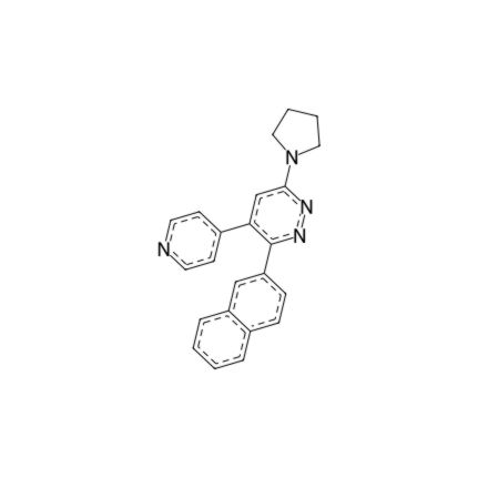 c1ccc2cc(-c3nnc(N4CCCC4)cc3-c3ccncc3)ccc2c1